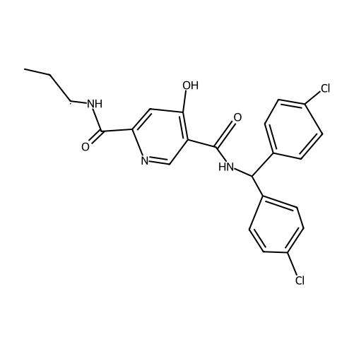 CC[CH]NC(=O)c1cc(O)c(C(=O)NC(c2ccc(Cl)cc2)c2ccc(Cl)cc2)cn1